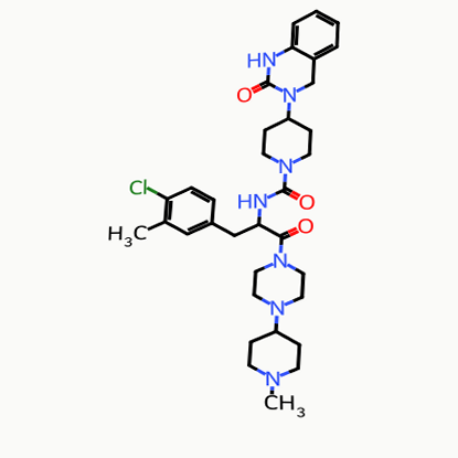 Cc1cc(CC(NC(=O)N2CCC(N3Cc4ccccc4NC3=O)CC2)C(=O)N2CCN(C3CCN(C)CC3)CC2)ccc1Cl